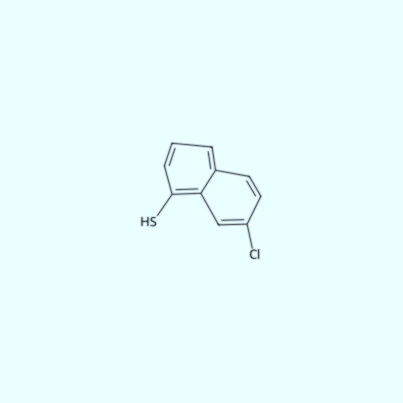 Sc1cccc2ccc(Cl)cc12